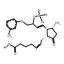 CC[Si](CC)(CC)OC(/C=C/[C@H]1[C@H](C)CC(=O)[C@@H]1C/C=C\CCCC(=O)OC(C)C)COc1cccc(C(F)(F)F)c1